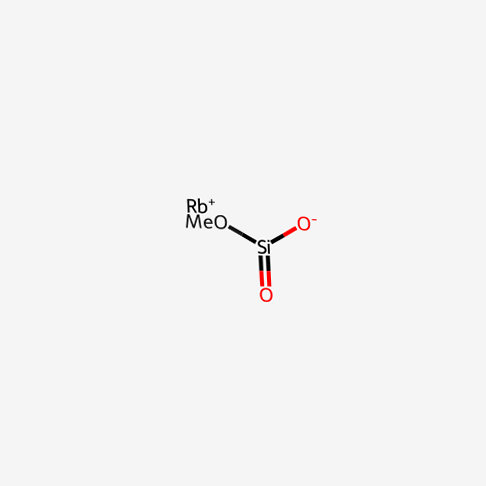 CO[Si](=O)[O-].[Rb+]